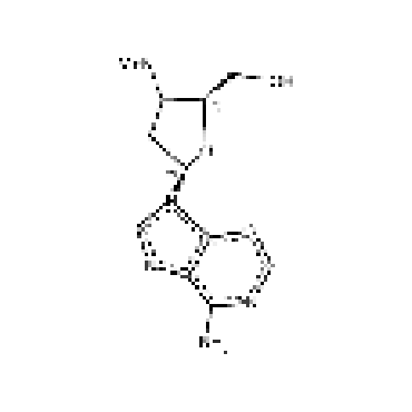 CNC1C[C@H](n2cnc3c(N)ncnc32)O[C@@H]1CO